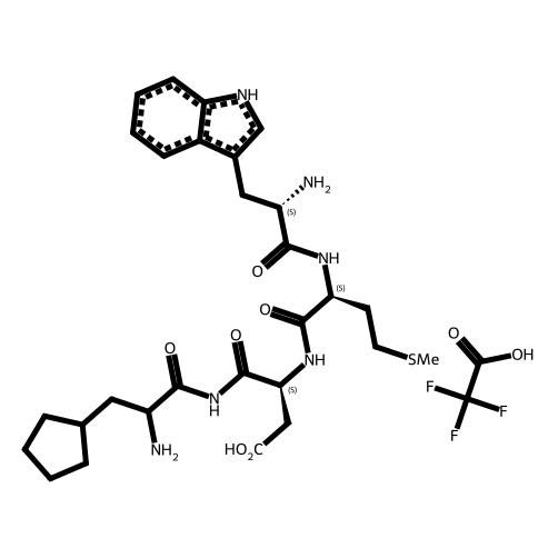 CSCC[C@H](NC(=O)[C@@H](N)Cc1c[nH]c2ccccc12)C(=O)N[C@@H](CC(=O)O)C(=O)NC(=O)C(N)CC1CCCC1.O=C(O)C(F)(F)F